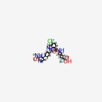 CNC(=O)c1cc(-c2ccc(Cn3ncc4c(Cl)ccc(C(=O)NC5CC6(C5)CC(F)(C(=O)O)C6)c43)cc2)ccn1